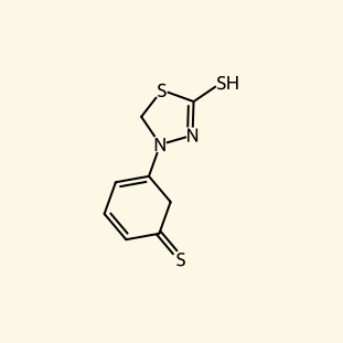 S=C1C=CC=C(N2CSC(S)=N2)C1